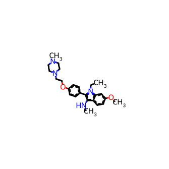 CCn1c(-c2ccc(OCCN3CCN(C)CC3)cc2)c(NC)c2ccc(OC)cc21